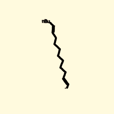 [CH2]C=CCCCCCCCC=CCCCC